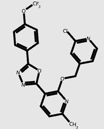 Cc1ccc(-c2nnc(-c3ccc(OC(F)(F)F)cc3)o2)c(OCc2ccnc(Cl)c2)n1